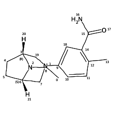 CCN1[C@@H]2CC[C@H]1CN(c1ccc(C)c(C(N)=O)c1)C2